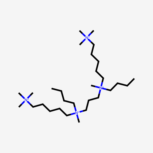 CCCC[N+](C)(CCCCC[N+](C)(C)C)CCC[N+](C)(CCCC)CCCCC[N+](C)(C)C